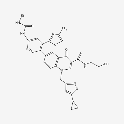 CCNC(=O)Nc1cc(-c2nc(C(F)(F)F)cs2)c(-c2ccc3c(c2)c(=O)c(C(=O)NCCO)cn3Cc2noc(C3CC3)n2)cn1